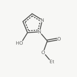 CCOC(=O)n1nccc1O